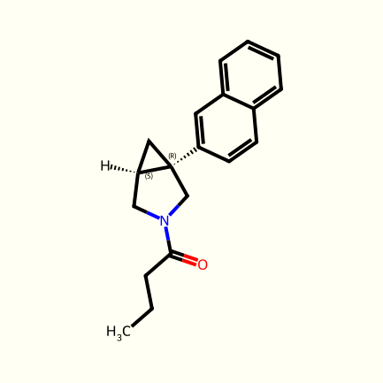 CCCC(=O)N1C[C@H]2C[C@@]2(c2ccc3ccccc3c2)C1